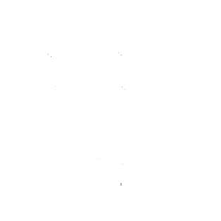 CC(C)n1cc2cc(NC(=O)c3ccccc3NCc3ccnc(Br)c3)ccc2n1